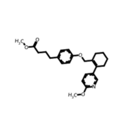 COC(=O)CCCc1ccc(OCC2=C(c3ccc(OC)nc3)CCCC2)cc1